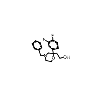 OCCC1(c2ccc(F)c(F)c2)CN(Cc2ccccc2)CCO1